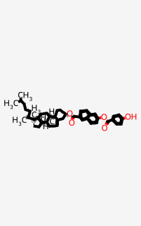 CC(C)CCC[C@@H](C)[C@H]1CC[C@H]2[C@@H]3CC=C4C[C@@H](OC(=O)c5ccc6cc(OC(=O)c7ccc(O)cc7)ccc6c5)CC[C@]4(C)[C@H]3CC[C@]12C